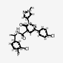 CC(NC(=O)c1cc(-c2ccc(Cl)cc2)nn(-c2cnn(C)c2)c1=O)c1ccc(F)c(Cl)c1